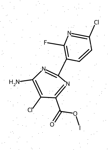 Nc1nc(-c2ccc(Cl)nc2F)nc(C(=O)OI)c1Cl